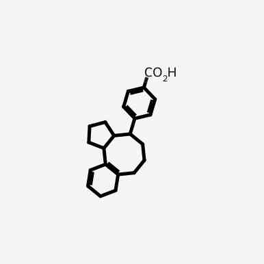 O=C(O)c1ccc(C2CCCC3=C(C=CCC3)C3CCCC32)cc1